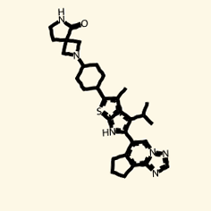 Cc1c(C2CCC(N3CC4(CCNC4=O)C3)CC2)sc2[nH]c(-c3cn4ncnc4c4c3CCC4)c(C(C)C)c12